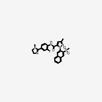 Cc1cc(C(=O)Nc2ccc(C3=NCCN3C)cc2F)n(-c2cc3ccccc3cc2S(C)(=O)=O)n1